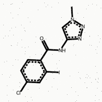 Cn1cc(NC(=O)c2ccc(Cl)cc2I)nn1